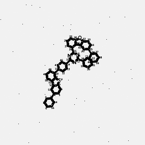 c1ccc(-c2ccc3sc4c(-c5ccc(-c6nc(-c7ccccc7)nc(-c7cccc8oc9ccc(-c%10ccccc%10)cc9c78)n6)cc5)cccc4c3c2)cc1